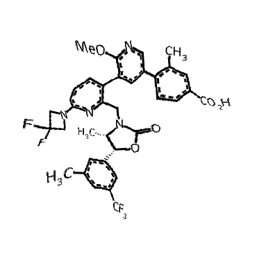 COc1ncc(-c2ccc(C(=O)O)cc2C)cc1-c1ccc(N2CC(F)(F)C2)nc1CN1C(=O)O[C@H](c2cc(C)cc(C(F)(F)F)c2)[C@@H]1C